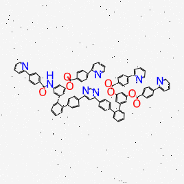 O=C(Nc1cc(OC(=O)c2ccc(-c3ccccn3)cc2)cc(-c2ccccc2-c2ccc(-c3cc(-c4ccc(-c5ccccc5-c5cc(OC(=O)c6ccc(-c7ccccn7)cc6)cc(OC(=O)c6ccc(-c7ccccn7)cc6)c5)cc4)ncn3)cc2)c1)c1ccc(-c2ccccn2)cc1